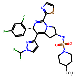 O=C(O)C1CCN(S(=O)(=O)N[C@H]2CC3=C(c4ccn(C(F)F)n4)[C@H](c4ccc(F)cc4Cl)N=C(c4nccs4)N3C2)CC1